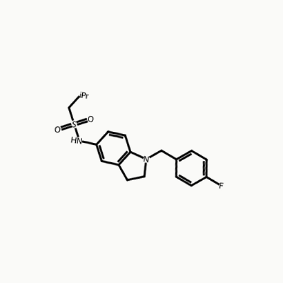 CC(C)CS(=O)(=O)Nc1ccc2c(c1)CCN2Cc1ccc(F)cc1